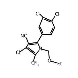 CCOCn1c(-c2ccc(Cl)c(Cl)c2)c(C#N)c(Cl)c1C(F)(F)F